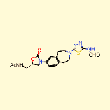 CC(=O)NC[C@H]1CN(c2ccc3c(c2)CCN(c2nnc(NC=O)s2)CC3)C(=O)O1